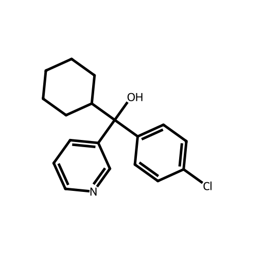 OC(c1ccc(Cl)cc1)(c1cccnc1)C1CCCCC1